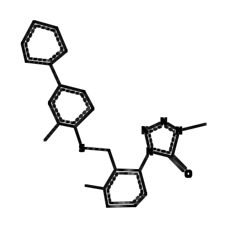 Cc1cc(-c2ccccc2)ccc1SCc1c(C)cccc1-n1nnn(C)c1=O